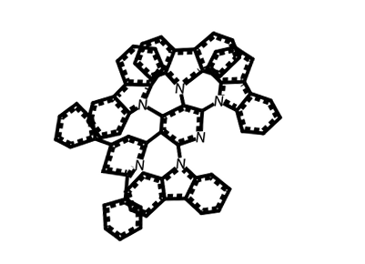 c1ccc(-c2cc(-c3ccccc3)nc(-c3c(-n4c5ccccc5c5ccccc54)nc(-n4c5ccccc5c5ccccc54)c(-n4c5ccccc5c5ccccc54)c3-n3c4ccccc4c4ccccc43)c2)cc1